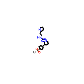 CS(=O)(=O)c1ccc(-c2cccn3nc(NCCc4ccccn4)nc23)cc1